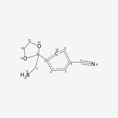 BCC1(c2ccc(C#N)cc2)OCCO1